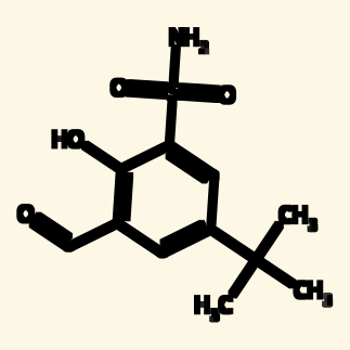 CC(C)(C)c1cc(C=O)c(O)c(S(N)(=O)=O)c1